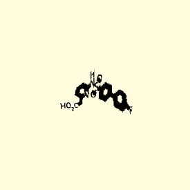 O=C(O)Cc1cccc(NS(=O)(=O)c2ccc(-c3ccc(F)cc3)cc2)n1